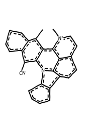 Cc1c2ccccc2c(C#N)c2c1c1c3c(ccc4c5ccccc5n2c43)cc[n+]1C